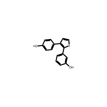 Oc1ccc(-c2ccsc2-c2cccc(O)c2)cc1